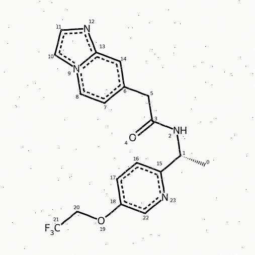 C[C@@H](NC(=O)Cc1ccn2ccnc2c1)c1ccc(OCC(F)(F)F)cn1